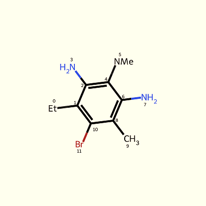 CCc1c(N)c(NC)c(N)c(C)c1Br